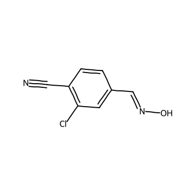 N#Cc1ccc(C=NO)cc1Cl